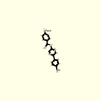 CCCCCc1ccc(C(=O)Oc2cnc(-c3ccc(CCC)cc3)cn2)cc1